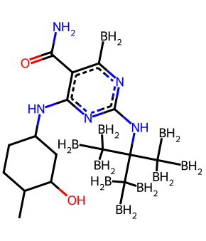 Bc1nc(NC(C(B)(B)B)(C(B)(B)B)C(B)(B)B)nc(NC2CCC(C)C(O)C2)c1C(N)=O